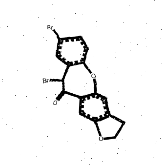 O=C1c2cc3c(cc2Oc2ccc(Br)cc2C1Br)CCO3